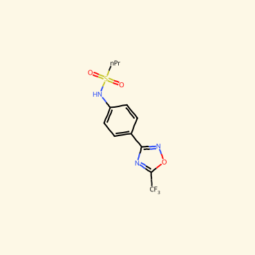 CCCS(=O)(=O)Nc1ccc(-c2noc(C(F)(F)F)n2)cc1